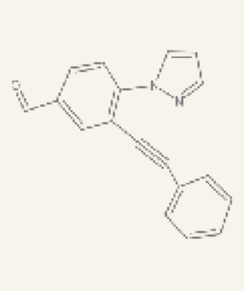 O=Cc1ccc(-n2cccn2)c(C#Cc2ccccc2)c1